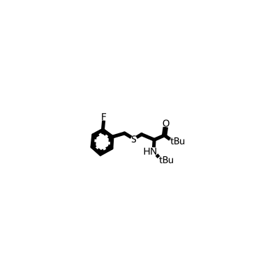 CC(C)(C)NC(CSCc1ccccc1F)C(=O)C(C)(C)C